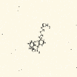 CCCCCCc1cccc(Cc2ccccc2C)c1